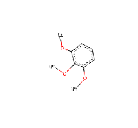 CCOc1cccc(OC(C)C)c1OC(C)C